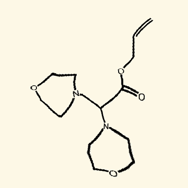 C=CCOC(=O)C(N1CCOCC1)N1CCOCC1